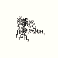 Cc1nn(C)cc1-c1ccnc(NC(=O)N2c3nc(C(=O)NC(C)C(F)(F)F)ccc3N3CC[C@H]2C3)c1